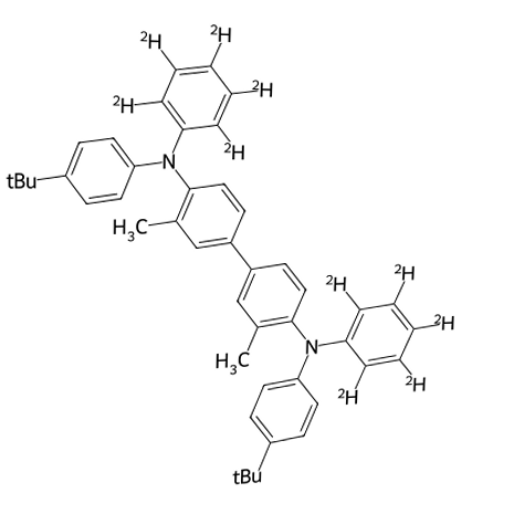 [2H]c1c([2H])c([2H])c(N(c2ccc(C(C)(C)C)cc2)c2ccc(-c3ccc(N(c4ccc(C(C)(C)C)cc4)c4c([2H])c([2H])c([2H])c([2H])c4[2H])c(C)c3)cc2C)c([2H])c1[2H]